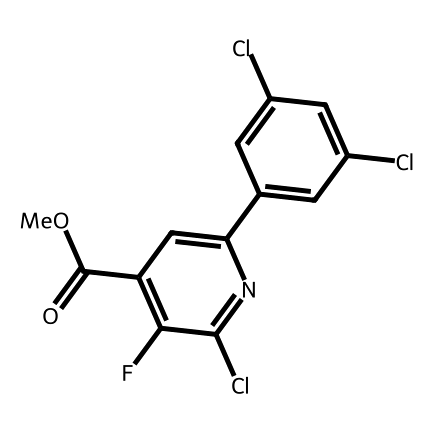 COC(=O)c1cc(-c2cc(Cl)cc(Cl)c2)nc(Cl)c1F